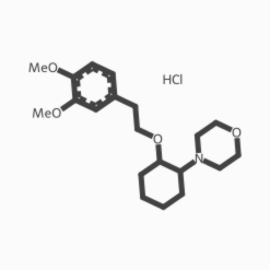 COc1ccc(CCOC2CCCCC2N2CCOCC2)cc1OC.Cl